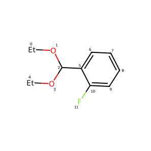 CCOC(OCC)c1ccccc1F